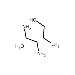 CCCO.NCCN.O